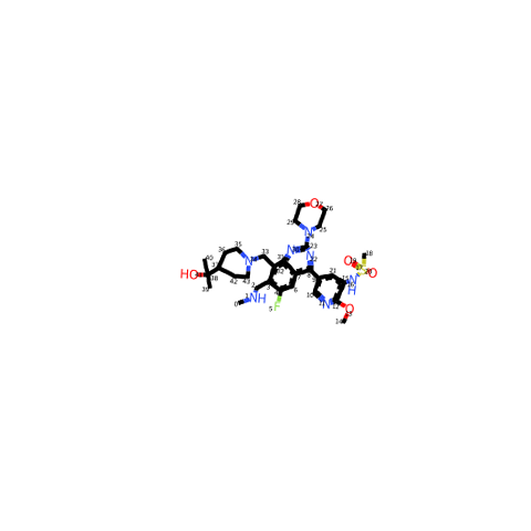 CNCc1c(F)cc2c(-c3cnc(OC)c(NS(C)(=O)=O)c3)nc(N3CCOCC3)nc2c1CN1CCC(C(C)(C)O)CC1